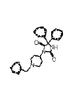 O=C1NC(c2ccccc2)(c2ccccc2)C(=O)N1C1CCN(Cc2ccccc2)CC1